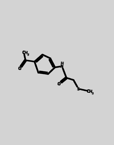 CSCC(=O)Nc1ccc(C(C)=O)cc1